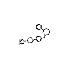 c1ccc(C2CCCCN(Cc3ccc(N4CCC(n5cnnc5)CC4)cc3)S2)cc1